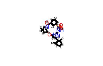 Cc1cccc(C)c1-c1cc2nc(n1)NS(=O)(=O)c1cccc(c1)C(=O)N1CC(CC(C)(C)C1)O2